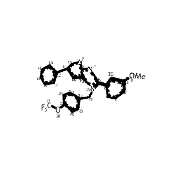 COc1cccc(-c2nc3ncc(-c4ccccc4)cc3n2Cc2ccc(OC(F)(F)F)cc2)c1